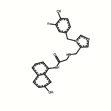 N#Cc1ccc(Cn2cncc2CNCC(=O)Nc2cccc3ccc(O)cc23)cc1F